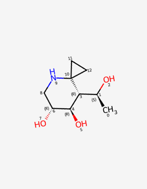 C[C@H](O)[C@@H]1[C@@H](O)[C@H](O)CNC12CC2